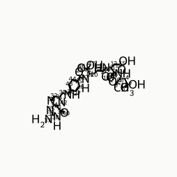 CC(=O)[C@H](CC(=O)O)NC(=O)C(CC(=O)O)NC(=O)CC[C@H](NC(=O)c1ccc(NCc2cnc3nc(N)[nH]c(=O)c3n2)cc1)C(=O)O